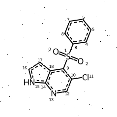 O=S(=O)(c1ccccc1)c1c(Cl)cnc2[nH]ccc12